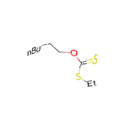 CCCCCCOC(=S)SCC